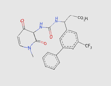 CN1C=CC(=O)C(NC(=O)NC(CC(=O)O)c2cc(-c3ccccc3)cc(C(F)(F)F)c2)C1=O